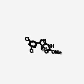 COC(=O)NC1=NCC(c2cc(Cl)cc(Cl)c2)N1C